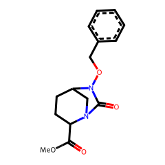 COC(=O)C1CCC2CN1C(=O)N2OCc1ccccc1